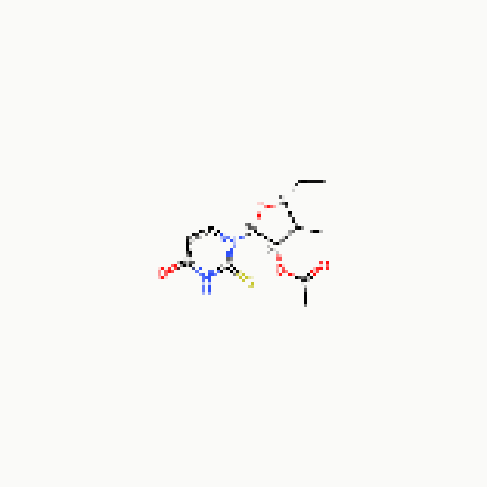 CC[C@H]1O[C@@H](n2ccc(=O)[nH]c2=S)[C@@H](OC(C)=O)C1C